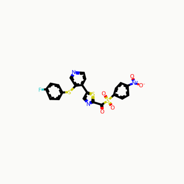 O=C(c1ncc(-c2ccncc2Sc2ccc(F)cc2)s1)S(=O)(=O)c1ccc([N+](=O)[O-])cc1